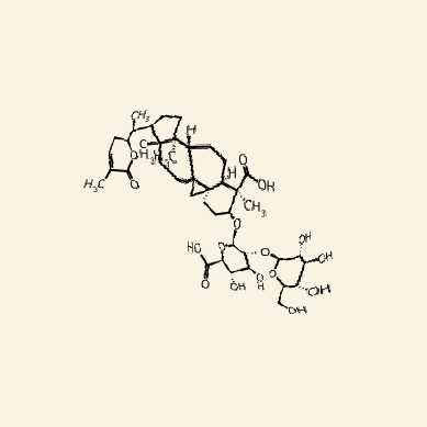 CC1=CC[C@@H]([C@@H](C)[C@H]2CC[C@@]3(C)[C@@H]4CC[C@H]5[C@@](C)(C(=O)O)[C@@H](O[C@@H]6O[C@H](C(=O)O)[C@@H](O)[C@H](O)[C@H]6O[C@@H]6O[C@H](CO)[C@@H](O)[C@H](O)[C@H]6O)CC[C@@]56C[C@@]46CC[C@]23C)OC1=O